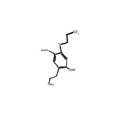 CNCCc1cc(OC)c(SCCC(F)(F)F)cc1OC